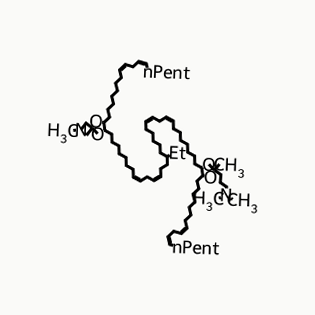 CCCCC/C=C\C/C=C\CCCCCCCC1OC(C)(CCCN(C)C)OC1CCCCCCC/C=C\C/C=C\CCCCCC(CC)CC/C=C\C/C=C\CCCCCCCC1OC2(CN(C)C2)OC1CCCCCCC/C=C\C/C=C\CCCCC